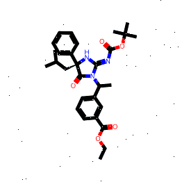 CCOC(=O)c1cccc(C(C)N2C(=O)[C@](CC(C)C)(c3ccccc3)NC2=NC(=O)OC(C)(C)C)c1